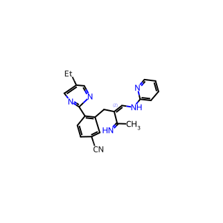 CCc1cnc(-c2ccc(C#N)cc2C/C(=C/Nc2ccccn2)C(C)=N)nc1